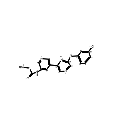 CC(C)(C)OC(=O)Nc1cncc(-c2cncc(Oc3cccc(Cl)c3)n2)c1